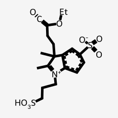 CCOC(=C=O)CCC1(C)C(C)=[N+](CCCS(=O)(=O)O)c2ccc(S(=O)(=O)[O-])cc21